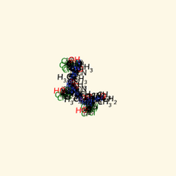 C=CC(=O)N1[C@H](C)CN(c2c(C#N)c(=O)n(-c3c(C)cc(/C=C\C(=O)N4[C@H](C)CN(c5c(C#N)c(=O)n(-c6c(C)cc(/C=C\C(=O)N7[C@H](C)CN(c8c(C#N)c(=O)n(-c9c(C)ccnc9C(C)C)c9nc(-c%10c(Cl)c(O)c(Cl)c(Cl)c%10Cl)c(Cl)cc89)C[C@@H]7C)nc6C(C)C)c6nc(-c7c(Cl)c(O)c(Cl)c(Cl)c7Cl)c(Cl)cc56)C[C@@H]4C)nc3C(C)C)c3nc(-c4c(Cl)c(O)c(Cl)c(Cl)c4Cl)c(Cl)cc23)C[C@@H]1C